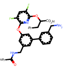 CCCC(=O)NCc1cc(Oc2nc(OC(CC(C)C)C(=O)O)c(F)cc2F)cc(-c2cccc(CN)c2)c1